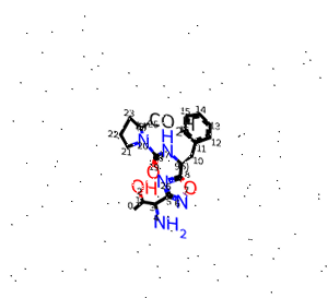 CC(O)C(N)c1noc([C@H](Cc2ccccc2)NC(=O)N2CCC[C@H]2C(=O)O)n1